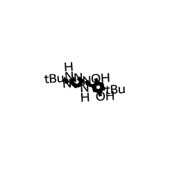 CC(C)(C)c1nc2cc3[nH]c(-c4cc(O)c(C(C)(C)C)cc4O)nc3nc2[nH]1